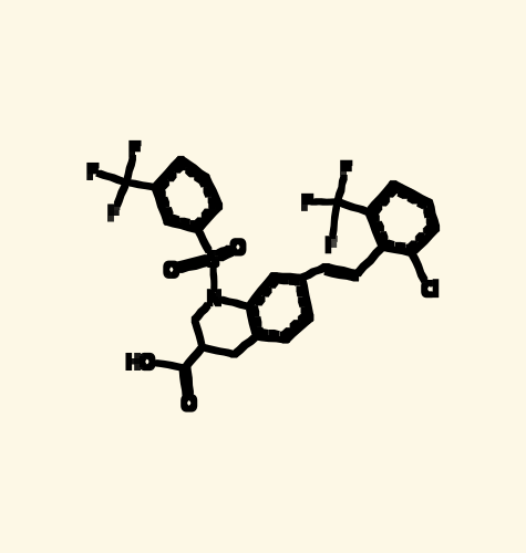 O=C(O)C1Cc2ccc(C=Cc3c(Cl)cccc3C(F)(F)F)cc2N(S(=O)(=O)c2cccc(C(F)(F)F)c2)C1